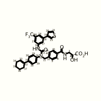 O=C(NC[C@@H](O)C(=O)O)c1ccc(CN(C(=O)Nc2cc(-c3ccsc3)cc(C(F)(F)F)c2)c2ccc(C3=CCCCC3)cc2)cc1